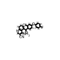 N#Cc1cnc2c(c1N)C(C(=O)c1ccc(Oc3ccc(F)cc3)cc1Cl)=CCC2